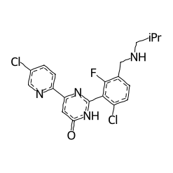 CC(C)CNCc1ccc(Cl)c(-c2nc(-c3ccc(Cl)cn3)cc(=O)[nH]2)c1F